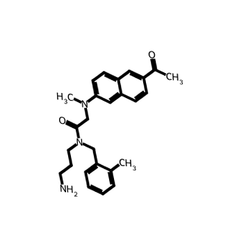 CC(=O)c1ccc2cc(N(C)CC(=O)N(CCCN)Cc3ccccc3C)ccc2c1